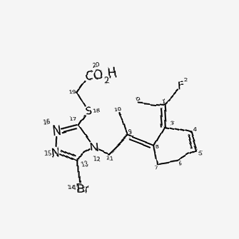 C/C(F)=C1/C=CCC/C1=C(/C)Cn1c(Br)nnc1SCC(=O)O